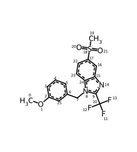 COc1cccc(Cn2c(C(F)(F)F)nc3cc(S(C)(=O)=O)ccc32)c1